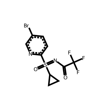 O=C(N=S(=O)(c1ccc(Br)cn1)C1CC1)C(F)(F)F